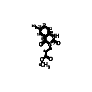 COC(=O)CCn1c(=O)[nH]c2ccc(I)cc2c1=O